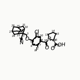 N#CC1(COc2cc(F)c(C(=O)N3CCC[C@H]3C(=O)O)cc2Cl)C2CC3CC(C2)CC1C3